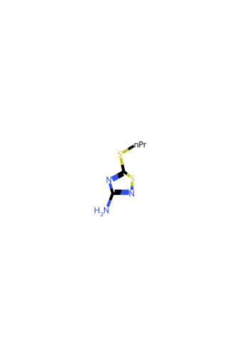 CCCSc1nc(N)ns1